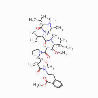 CC[C@H](C)[C@@H]([C@@H](CC(=O)N1CCC[C@H]1[C@H](OC)[C@@H](C)C(=O)NCCc1ccccc1C(=O)OC)OC)N(C)C(=O)[C@@H](NC(=O)[C@H](C(C)C)N(C)C(C)C)C(C)C